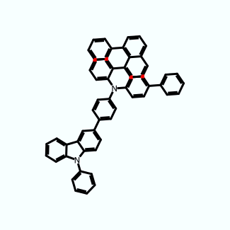 c1ccc(-c2ccc(N(c3ccc(-c4ccc5c(c4)c4ccccc4n5-c4ccccc4)cc3)c3ccccc3-c3cccc4cccc(-c5ccccc5)c34)cc2)cc1